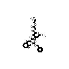 C=CCOC(=O)CNC(=O)C(=O)C(CCC)NC(=O)[C@@H]1C[C@@H]2CCCC[C@@H]2CN1C(=O)OCc1ccccc1